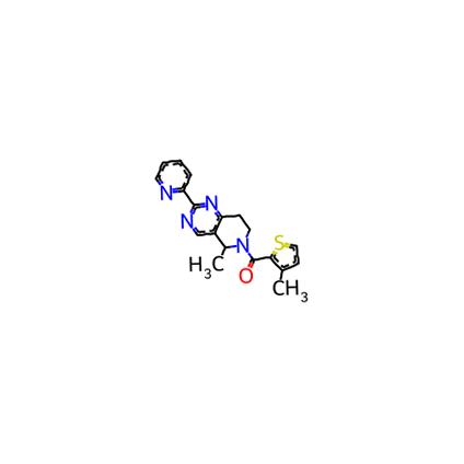 Cc1ccsc1C(=O)N1CCc2nc(-c3ccccn3)ncc2C1C